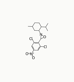 CC1CCC(C(C)C)C(N2OC2c2c(Cl)cc([N+](=O)[O-])cc2Cl)C1